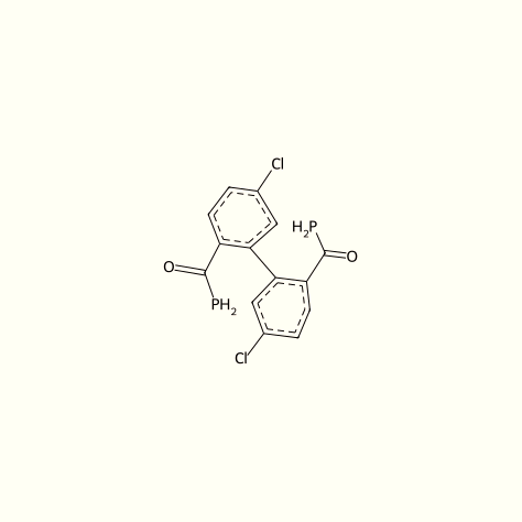 O=C(P)c1ccc(Cl)cc1-c1cc(Cl)ccc1C(=O)P